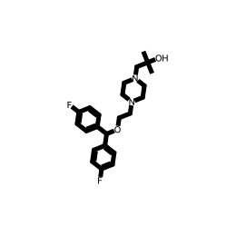 CC(C)(O)CN1CCN(CCOC(c2ccc(F)cc2)c2ccc(F)cc2)CC1